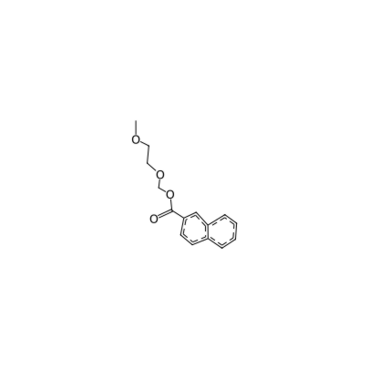 COCCOCOC(=O)c1ccc2ccccc2c1